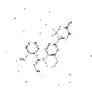 COc1ccccc1/C(=N/C(C)C)N1CCCc2cc(C3=NNC(=O)SC3(C)C)ccc21